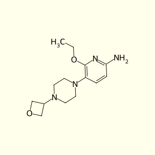 CCOc1nc(N)ccc1N1CCN(C2COC2)CC1